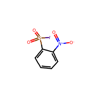 O=[N+]([O-])c1ccccc1S(=O)(=O)I